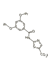 CC(C)Oc1cc(OC(C)C)cc(C(=O)Nc2ncc(C(=O)O)s2)c1